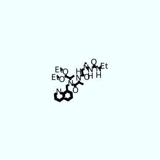 CCNC(=O)NN(C)CC(=O)NC(C)C(=O)N(Cc1cccc2cccnc12)C(C)C(OCC)OCC